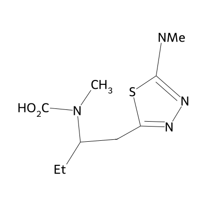 CCC(Cc1nnc(NC)s1)N(C)C(=O)O